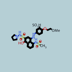 COCCOc1ccc(/N=N/c2cc(S(=O)(=O)NN3CCCC3)c(O)c3cccc(NS(C)(=O)=O)c23)cc1S(=O)(=O)O